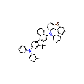 Cc1cccc(N(c2ccccc2)c2ccc3c(c2)C(C)(C)c2cc(N(c4ccccc4)c4cccc5sc6ccccc6c45)c4ccccc4c2-3)c1